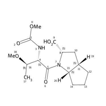 COC(=O)N[C@H](C(=O)N1[C@H](C(=O)O)C[C@@H]2CCC[C@@H]21)[C@@H](C)OC